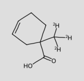 [2H]C([2H])([2H])C1(C(=O)O)CC=CCC1